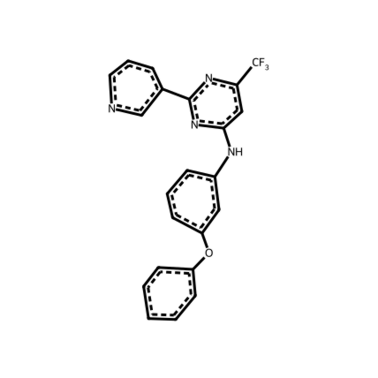 FC(F)(F)c1cc(Nc2cccc(Oc3ccccc3)c2)nc(-c2cccnc2)n1